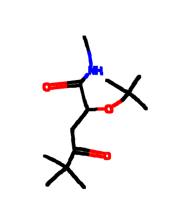 CNC(=O)C(CC(=O)C(C)(C)C)OC(C)(C)C